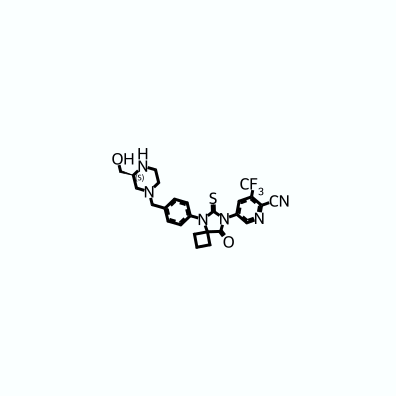 N#Cc1ncc(N2C(=O)C3(CCC3)N(c3ccc(CN4CCN[C@H](CO)C4)cc3)C2=S)cc1C(F)(F)F